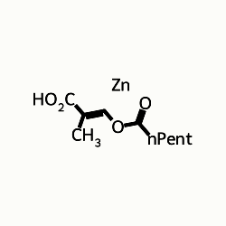 CCCCCC(=O)OC=C(C)C(=O)O.[Zn]